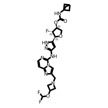 O=C(NC12CC(C1)C2)O[C@H]1CO[C@@H](c2cc(Nc3nccc4nc(CN5CC(OC(F)F)C5)cn34)n[nH]2)[C@@H]1F